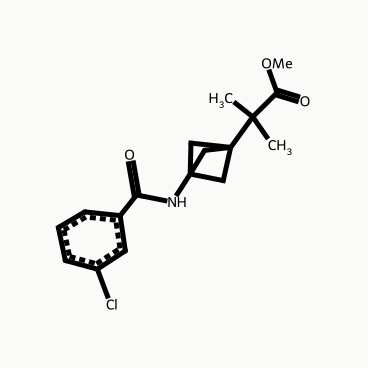 COC(=O)C(C)(C)C12CC(NC(=O)c3cccc(Cl)c3)(C1)C2